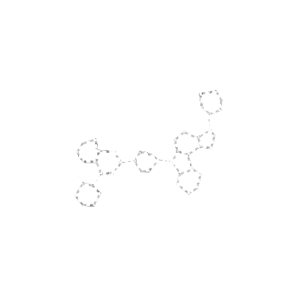 c1ccc(-n2ccc3c4c5ccccc5n(-c5ccc(-c6nc7c8c(cccc8n6)Sc6ccccc6-7)cc5)c4ccc32)cc1